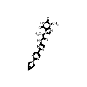 C[C@@H](C(=O)Nc1csc(-c2cnc(N3CC4=CC4C3)nc2)n1)n1cnc2c1c(=O)[nH]c(=O)n2C